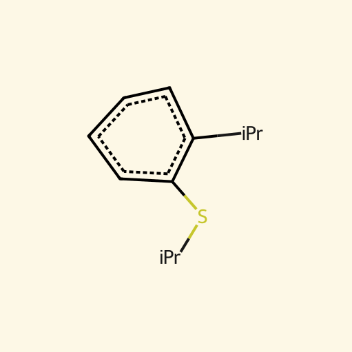 CC(C)Sc1ccccc1C(C)C